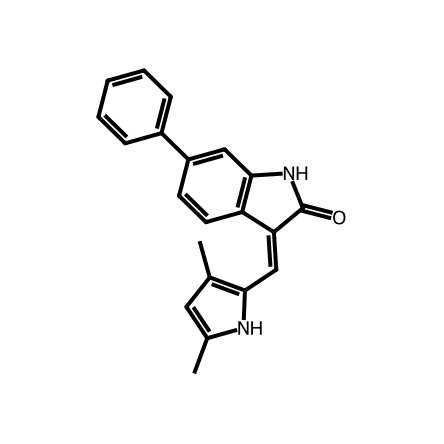 Cc1cc(C)c(C=C2C(=O)Nc3cc(-c4ccccc4)ccc32)[nH]1